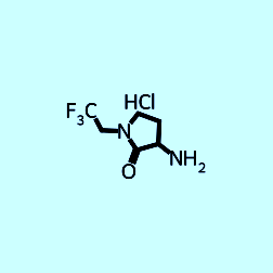 Cl.NC1CCN(CC(F)(F)F)C1=O